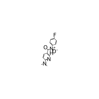 CN(C)c1ccc(C(=O)[NH+]([O-])c2ccc(F)cc2)cn1